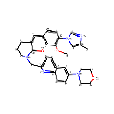 COc1cc(C=C2CCCN(Cc3ccc4cc(N5CCOCC5)ccc4n3)C2=O)ccc1-n1cnc(C)c1